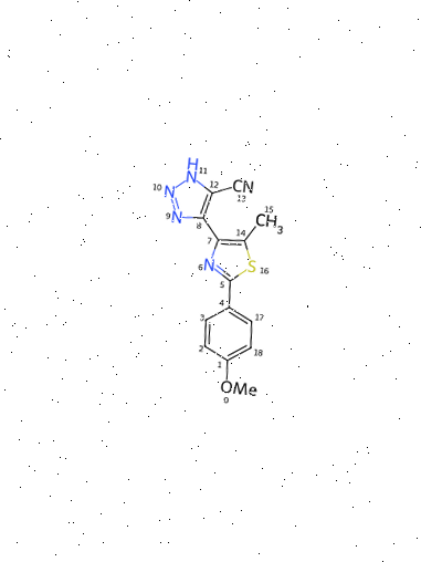 COc1ccc(-c2nc(-c3nn[nH]c3C#N)c(C)s2)cc1